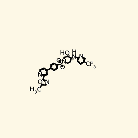 Cc1cnc(-c2cc(-c3ccc(S(=O)(=O)N4CC[C@@H](Nc5ccc(C(F)(F)F)cn5)[C@@H](O)C4)cc3)ccn2)o1